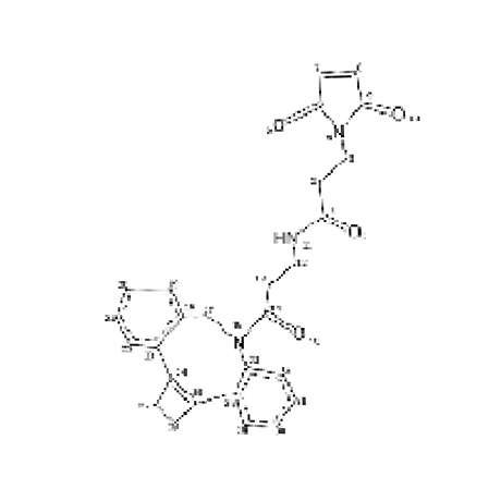 O=C(CCN1C(=O)C=CC1=O)NCCC(=O)N1Cc2ccccc2C2=C(CC2)c2ccccc21